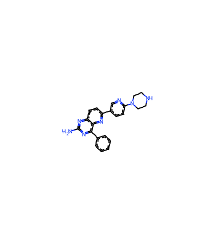 Nc1nc(-c2ccccc2)c2nc(-c3ccc(N4CCNCC4)nc3)ccc2n1